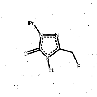 CCn1c(CF)nn(C(C)C)c1=O